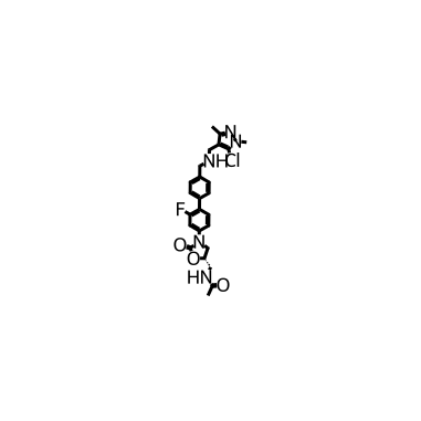 CC(=O)NC[C@H]1CN(c2ccc(-c3ccc(CNCc4c(C)nn(C)c4Cl)cc3)c(F)c2)C(=O)O1